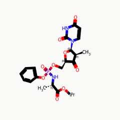 CC(C)OC(=O)[C@H](C)NP(=O)(OC[C@H]1O[C@@H](n2ccc(=O)[nH]c2=O)[C@@H](C)C1=O)Oc1ccccc1